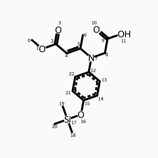 COC(=O)C=C(C)N(CC(=O)O)c1ccc(O[Si](C)(C)C)cc1